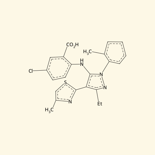 CCc1nn(-c2ccccc2C)c(Nc2ccc(Cl)cc2C(=O)O)c1-c1nc(C)cs1